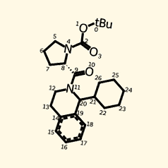 CC(C)(C)OC(=O)N1CCC[C@H]1C(=O)N1CCc2ccccc2C1C1CCCCC1